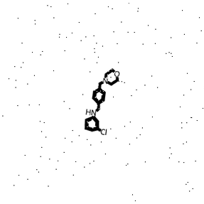 Clc1cccc(NCc2ccc(CN3CCOCC3)cc2)c1